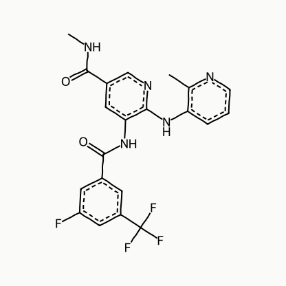 CNC(=O)c1cnc(Nc2cccnc2C)c(NC(=O)c2cc(F)cc(C(F)(F)F)c2)c1